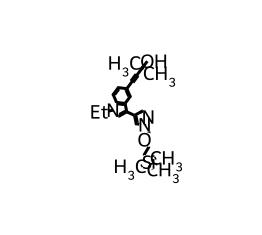 CCn1cc(-c2cnn(COCC[Si](C)(C)C)c2)c2cc(C#CC(C)(C)O)ccc21